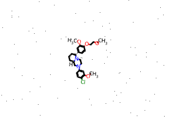 COCCOc1ccc([C@H]2CCC[C@H]3CN(c4ccc(Cl)c(OC)c4)CCN32)cc1OC